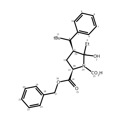 CCC1(O)[C@H](C(c2ccccc2)C(C)(C)C)C[C@H](C(=O)OCc2ccccc2)N1C(=O)O